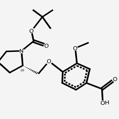 COc1cc(C(=O)O)ccc1OC[C@@H]1CCCN1C(=O)OC(C)(C)C